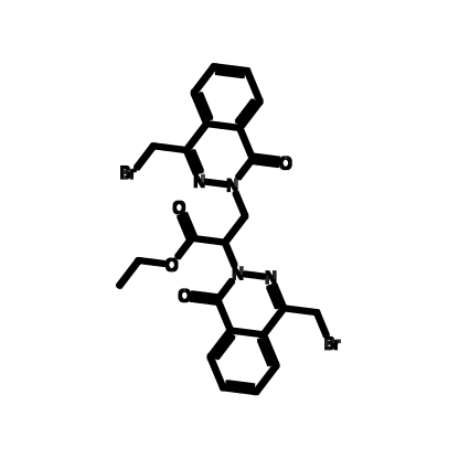 CCOC(=O)C(Cn1nc(CBr)c2ccccc2c1=O)n1nc(CBr)c2ccccc2c1=O